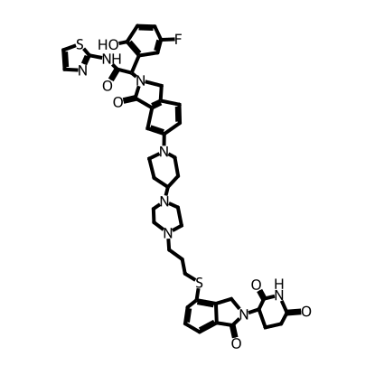 O=C1CCC(N2Cc3c(SCCCN4CCN(C5CCN(c6ccc7c(c6)C(=O)N(C(C(=O)Nc6nccs6)c6cc(F)ccc6O)C7)CC5)CC4)cccc3C2=O)C(=O)N1